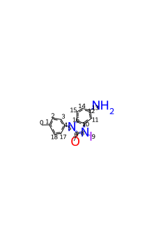 Cc1ccc(-n2c(=O)n(I)c3cc(N)ccc32)cc1